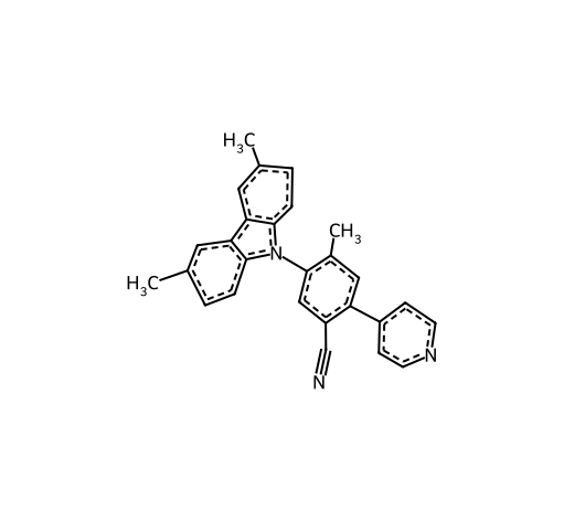 Cc1ccc2c(c1)c1cc(C)ccc1n2-c1cc(C#N)c(-c2ccncc2)cc1C